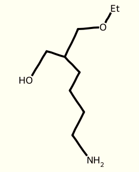 CCOCC(CO)CCCCN